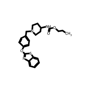 CCCOC(=O)NC1CCN(Cc2ccc(Oc3nc4ccccc4s3)cc2)CC1